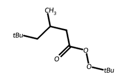 CC(CC(=O)OOC(C)(C)C)CC(C)(C)C